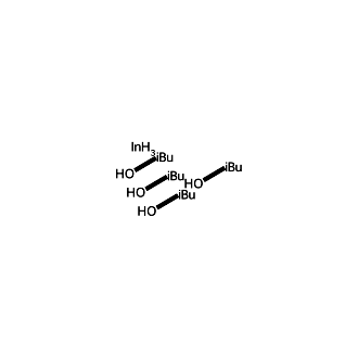 CCC(C)O.CCC(C)O.CCC(C)O.CCC(C)O.[InH3]